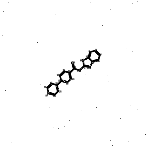 O=C(Sc1nc2ccccc2s1)c1ccc(-c2ccncc2)cc1